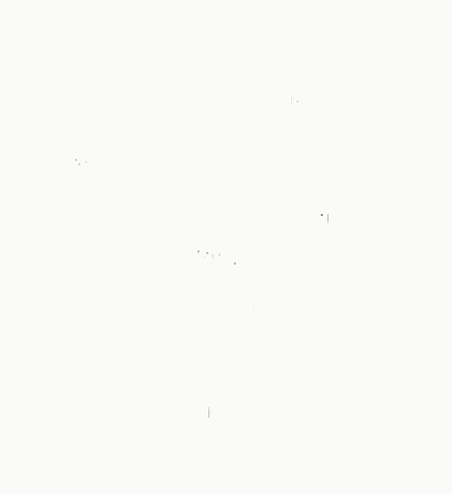 [C-]#[N+]CCOC(=O)C1=C(C)Nc2c(C)cnc(OCC)c2C1c1ccc(C#N)cc1OC